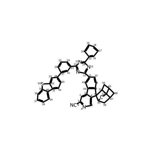 N#Cc1cc2c(cn1)C1(c3ccc(-c4nc(-c5ccccc5)nc(-c5cccc(-c6ccc7c(c6)sc6ccccc67)c5)n4)cc3-2)C2CC3CC4CC1C34C2